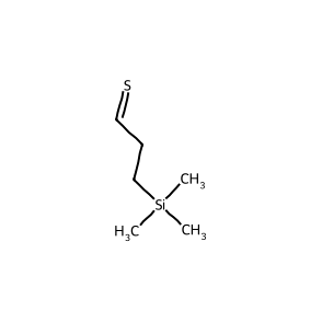 C[Si](C)(C)CCC=S